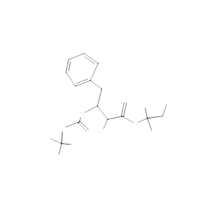 CCC(C)(C)NC(=O)C(O)C(Cc1ccccc1)NC(=O)OC(C)(C)C